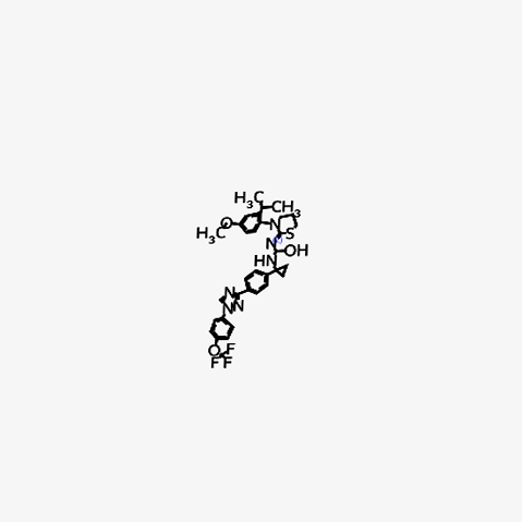 COc1ccc(N2CCCS/C2=N\C(O)NC2(c3ccc(-c4ncn(-c5ccc(OC(F)(F)F)cc5)n4)cc3)CC2)c(C(C)C)c1